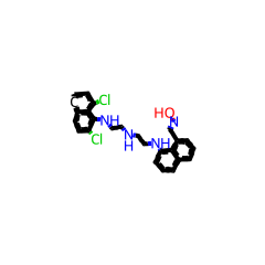 ON=Cc1cccc2cccc(NCCNCCNc3c(Cl)ccc4cccc(Cl)c34)c12